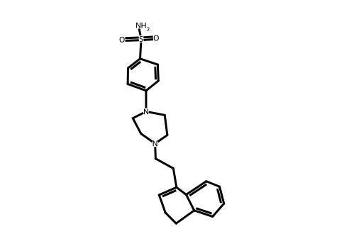 NS(=O)(=O)c1ccc(N2CCN(CCC3=CCCc4ccccc43)CC2)cc1